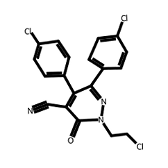 N#Cc1c(-c2ccc(Cl)cc2)c(-c2ccc(Cl)cc2)nn(CCCl)c1=O